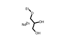 CCOCC(O)CO.[Nd].[Zn]